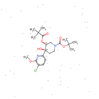 COc1nc([C@@]2(O)CCN(C(=O)OC(C)(C)C)C[C@@H]2OC(=O)C(C)(C)C)ccc1Cl